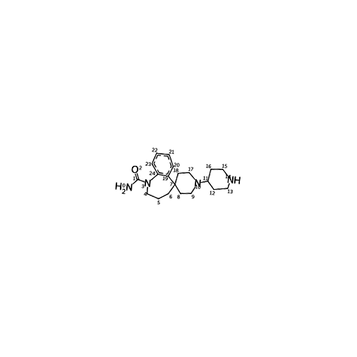 NC(=O)N1CCCC2(CCN(C3CCNCC3)CC2)c2ccccc21